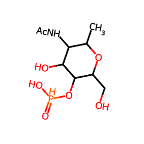 CC(=O)NC1C(C)OC(CO)C(O[PH](=O)O)C1O